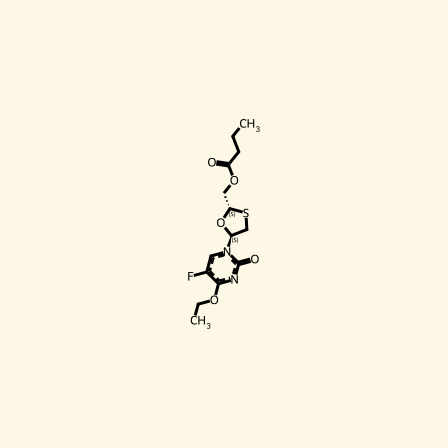 CCCC(=O)OC[C@H]1O[C@H](n2cc(F)c(OCC)nc2=O)CS1